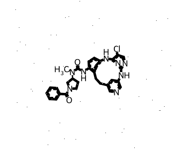 CN(C(=O)Nc1ccc2cc1CCc1cncc(c1)Nc1ncc(Cl)c(n1)N2)[C@H]1CCN(C(=O)c2ccccc2)C1